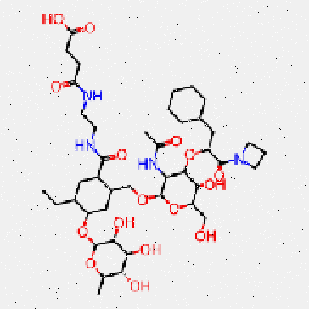 CCC1CC(C(=O)NCCNC(=O)CCC(=O)O)C(CO[C@@H]2OC(CO)[C@H](O)C(O[C@@H](CC3CCCCC3)C(=O)N3CCC3)C2NC(C)=O)CC1O[C@@H]1OC(C)[C@@H](O)C(O)C1O